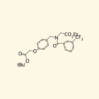 CCOC(=O)CN(Cc1ccc(OCC(=O)OC(C)(C)C)cc1)C(=O)c1cccc(C(F)(F)F)c1